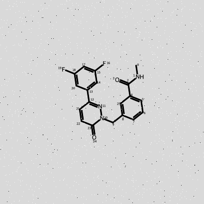 CNC(=O)c1cccc(Cn2nc(-c3cc(F)cc(F)c3)ccc2=O)c1